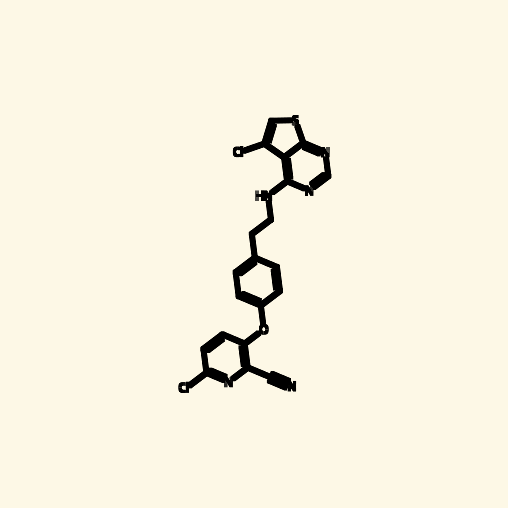 N#Cc1nc(Cl)ccc1Oc1ccc(CCNc2ncnc3scc(Cl)c23)cc1